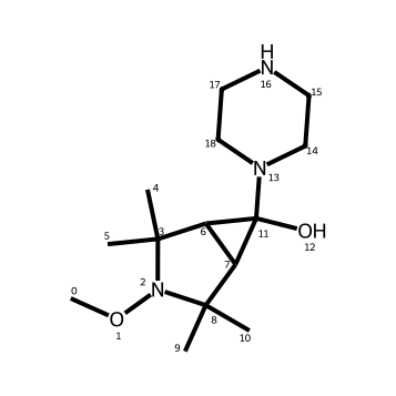 CON1C(C)(C)C2C(C1(C)C)C2(O)N1CCNCC1